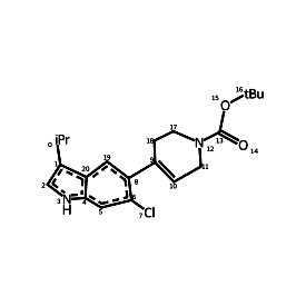 CC(C)c1c[nH]c2cc(Cl)c(C3=CCN(C(=O)OC(C)(C)C)CC3)cc12